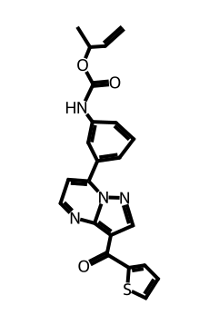 C=CC(C)OC(=O)Nc1cccc(-c2ccnc3c(C(=O)c4cccs4)cnn23)c1